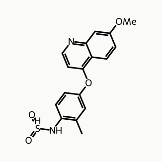 COc1ccc2c(Oc3ccc(N[SH](=O)=O)c(C)c3)ccnc2c1